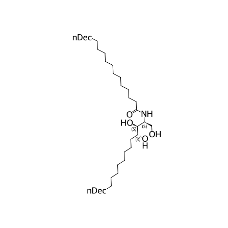 CCCCCCCCCCCCCCCCCCCCCC(=O)N[C@@H](CO)[C@H](O)[C@H](O)CCCCCCCCCCCCCCCCCC